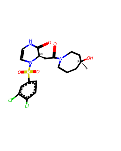 C[C@]1(O)CCCN(C(=O)C[C@@H]2C(=O)NC=CN2S(=O)(=O)c2ccc(Cl)c(Cl)c2)CC1